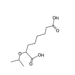 CC(C)OC(CCCCCC(=O)O)C(=O)O